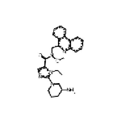 CCn1c(C(=O)N(Cc2nc3ccccc3c3ccccc23)OC)cnc1N1CCCC(N)C1